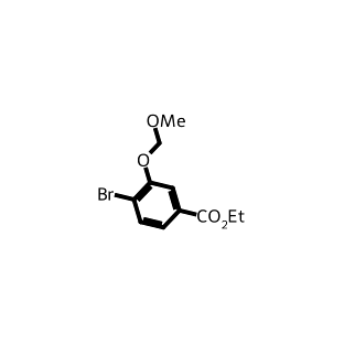 CCOC(=O)c1ccc(Br)c(OCOC)c1